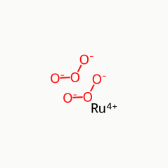 [O-]O[O-].[O-]O[O-].[Ru+4]